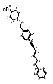 CCC[C@H]1CC[C@H](CCc2ccc(C#CCCCCc3ccccc3)cc2)CC1